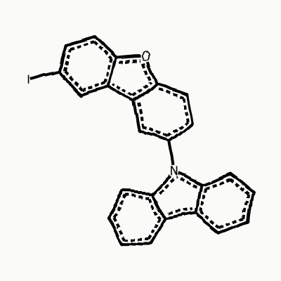 Ic1ccc2oc3ccc(-n4c5ccccc5c5ccccc54)cc3c2c1